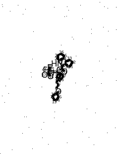 O=C(O[C@H]1C[N+]2(CCCOc3ccccc3)CCC1CC2)C(Nc1ccccc1)c1ccccc1.O=C([O-])C(F)(F)F